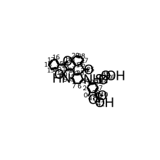 Cc1cc(Nc2ccc3[nH]c(=O)c(C(=O)c4ccccc4)c4c3c2C(=O)c2ccccc2-4)c(SOOO)cc1S(=O)(=O)O